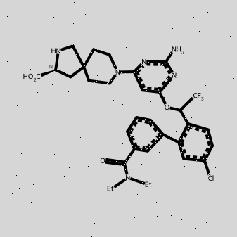 CCN(CC)C(=O)c1cccc(-c2cc(Cl)ccc2C(Oc2cc(N3CCC4(CC3)CN[C@H](C(=O)O)C4)nc(N)n2)C(F)(F)F)c1